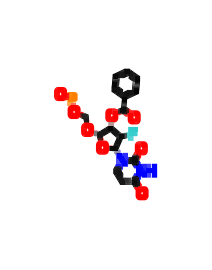 O=POCO[C@H]1O[C@@H](n2ccc(=O)[nH]c2=O)C(F)[C@H]1OC(=O)c1ccccc1